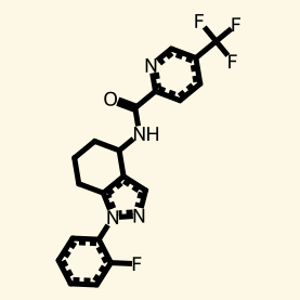 O=C(NC1CCCc2c1cnn2-c1ccccc1F)c1ccc(C(F)(F)F)cn1